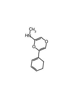 CNC1=COC=C(C2=CC=CCC2)O1